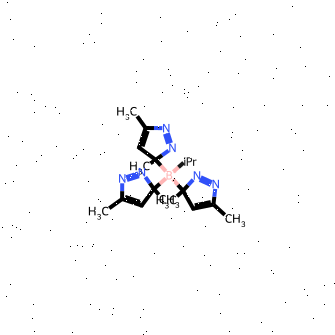 CC1=CC(C)([B-](C(C)C)(C2(C)C=C(C)N=N2)C2(C)C=C(C)N=N2)N=N1